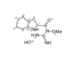 CON(C(=N)N)C(=O)c1cc2ccccc2[nH]1.Cl